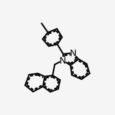 Cc1ccc(-c2nc3ccccc3n2Cc2cccc3ccccc23)cc1